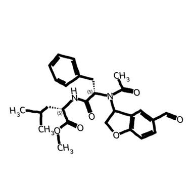 COC(=O)[C@H](CC(C)C)NC(=O)[C@H](Cc1ccccc1)N(C(C)=O)C1COc2ccc(C=O)cc21